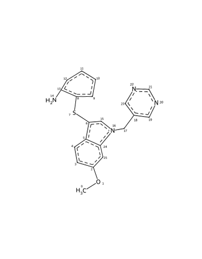 COc1ccc2c(Sc3ccccc3N)cn(Cc3cncnc3)c2c1